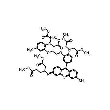 COC(=O)CCC(CC(=O)OC)/N=c1\ccc2c(-c3ccc(N(CC(=O)OC)CC(=O)OC)c(OCCOc4cc(C)ccc4N(CC(=O)OC)CC(=O)OC)c3)c3ccc(C)cc3oc-2c1